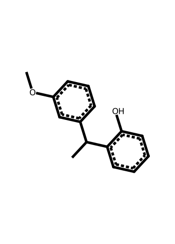 COc1cccc(C(C)c2ccccc2O)c1